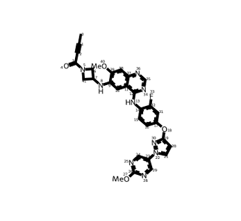 CC#CC(=O)N1CC(Nc2cc3c(Nc4ccc(Oc5ccn(-c6cnc(OC)nc6)n5)cc4F)ncnc3cc2OC)C1